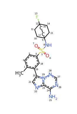 Cc1ccc(S(=O)(=O)NC23CCC(F)(CC2)CC3)cc1-c1cnc2c(N)ncnn12